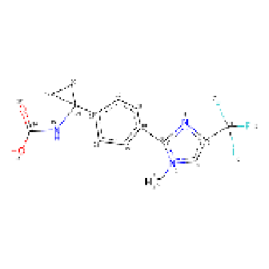 Cn1cc(C(F)(F)F)nc1-c1ccc(C2(NC(=O)O)CC2)cc1